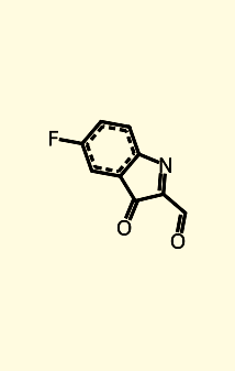 O=CC1=Nc2ccc(F)cc2C1=O